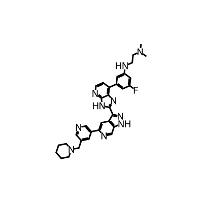 CN(C)CCNc1cc(F)cc(-c2ccnc3[nH]c(-c4n[nH]c5cnc(-c6cncc(CN7CCCCC7)c6)cc45)nc23)c1